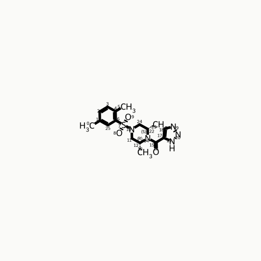 Cc1ccc(C)c(S(=O)(=O)N2C[C@@H](C)N(C(=O)c3cnn[nH]3)[C@@H](C)C2)c1